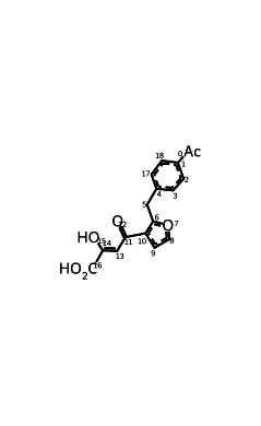 CC(=O)c1ccc(Cc2occc2C(=O)C=C(O)C(=O)O)cc1